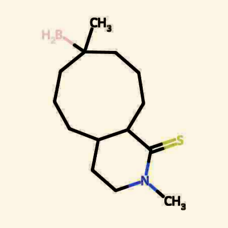 BC1(C)CCCC2CCN(C)C(=S)C2CCC1